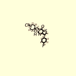 O=c1c2scc(-c3ccc(F)cc3)c2ncn1CC1(O)CCN(Cl)CC1